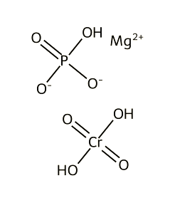 O=P([O-])([O-])O.[Mg+2].[O]=[Cr](=[O])([OH])[OH]